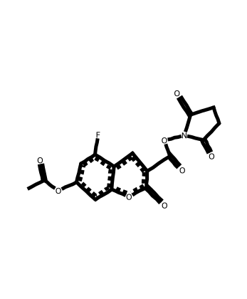 CC(=O)Oc1cc(F)c2cc(C(=O)ON3C(=O)CCC3=O)c(=O)oc2c1